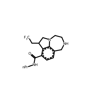 CCCNC(=O)c1ccc2c3c1C(CC(F)(F)F)CN3CCNC2